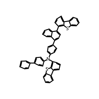 c1ccc(-c2ccc(N(c3ccc(-c4ccc(-c5cccc6c5sc5ccccc56)c5ccccc45)cc3)c3cccc4c3sc3ccccc34)cc2)cc1